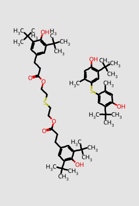 CC(C)(C)c1cc(CCC(=O)OCCSCCOC(=O)CCc2cc(C(C)(C)C)c(O)c(C(C)(C)C)c2)cc(C(C)(C)C)c1O.Cc1cc(O)c(C(C)(C)C)cc1Sc1cc(C(C)(C)C)c(O)cc1C